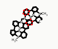 CN1c2cccc3c2B2c4c(cccc41)-c1cccc4c1N2c1c-3cccc1N4CN1c2ccccc2B(N2c3c(-c4ccccc4)cccc3N(C)c3cccc(-c4ccccc4)c32)c2ccccc21